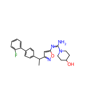 CC(c1ccc(-c2ccccc2F)cc1)c1cc(/N=C(/N)N2CCC(O)CC2)on1